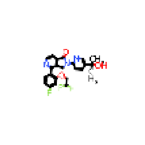 CC(C)(O)c1ccc(N2Cc3c(ccnc3-c3ccc(F)cc3OCC(F)F)C2=O)nc1